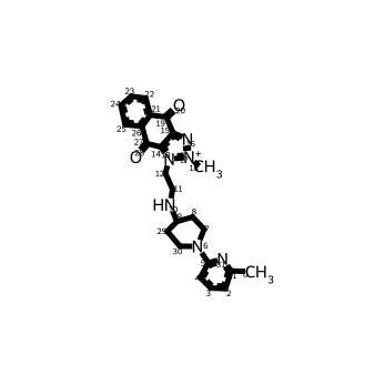 Cc1cccc(N2CCC(NCCn3c4c(n[n+]3C)C(=O)c3ccccc3C4=O)CC2)n1